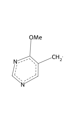 [CH2]c1cncnc1OC